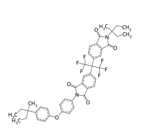 CCC(C)(CC)c1ccc(Oc2ccc(N3C(=O)c4ccc(C(c5ccc6c(c5)C(=O)N(C(C)(CC)CC)C6=O)(C(F)(F)F)C(F)(F)F)cc4C3=O)cc2)cc1